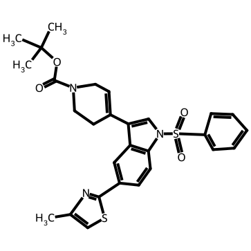 Cc1csc(-c2ccc3c(c2)c(C2=CCN(C(=O)OC(C)(C)C)CC2)cn3S(=O)(=O)c2ccccc2)n1